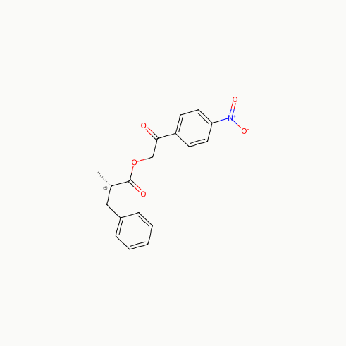 C[C@@H](Cc1ccccc1)C(=O)OCC(=O)c1ccc([N+](=O)[O-])cc1